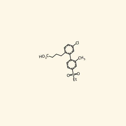 CCS(=O)(=O)c1ccc(-c2cc(Cl)ccc2CCCC(=O)O)c(C)c1